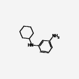 Nc1cc[c]c(NC2CCCCC2)c1